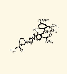 C=CC(=O)N1CCC[C@@H](n2cc(Nc3ncc(C(N)=O)c(Nc4c(C)cc(OC)cc4N(C)C)n3)cn2)C1